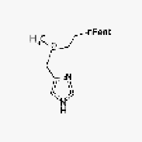 CCCCCCC[C@@H](C)Cc1c[nH]cn1